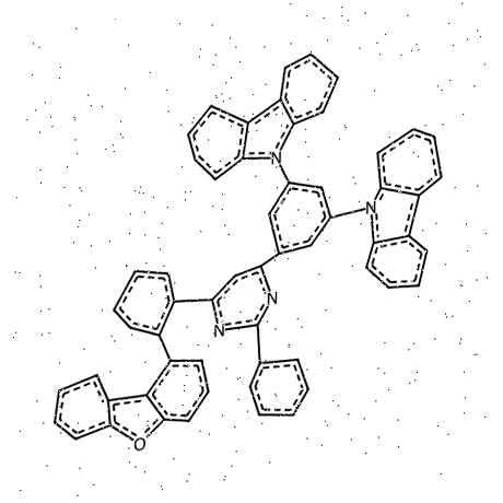 c1ccc(-c2nc(-c3cc(-n4c5ccccc5c5ccccc54)cc(-n4c5ccccc5c5ccccc54)c3)cc(-c3ccccc3-c3cccc4oc5ccccc5c34)n2)cc1